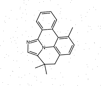 Cc1ccc2c3c1c1ccccc1c1ncc(n13)C(C)(C)C2